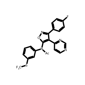 CC(=O)N(c1cccc(SC(F)(F)F)c1)c1onc(-c2ccc(F)cc2)c1-c1ccncn1